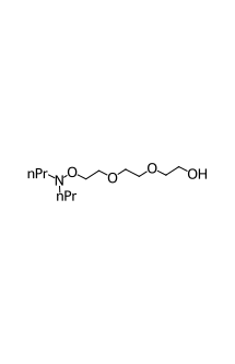 CCCN(CCC)OCCOCCOCCO